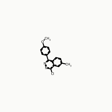 COc1ccc(-c2nnc(Cl)c3cc(C)ccc23)cc1